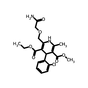 CCOC(=O)C1=C(COCC(N)=O)NC(C)=C(C(=O)OC)C1c1ccccc1Cl